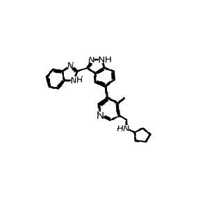 Cc1c(CNC2CCCC2)cncc1-c1ccc2[nH]nc(-c3nc4ccccc4[nH]3)c2c1